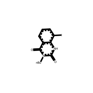 CCCCn1c(=O)[nH]c2c(I)cccc2c1=O